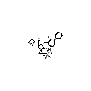 CN(C)S(=O)(=O)N[C@@H]1[C@H](Cc2cccc(-c3ccccc3)c2F)N(C(=O)[C@H]2CCO2)CC12CC2